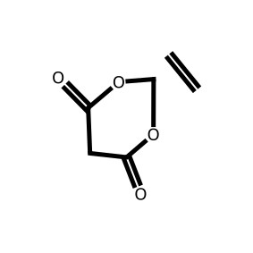 C=C.O=C1CC(=O)OCO1